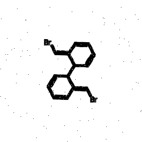 Br/C=C1\C=CC=CC1C1C=CC=C/C1=C\Br